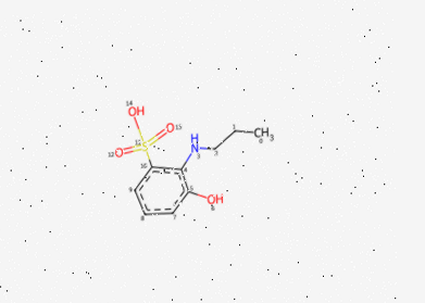 CCCNc1c(O)cccc1S(=O)(=O)O